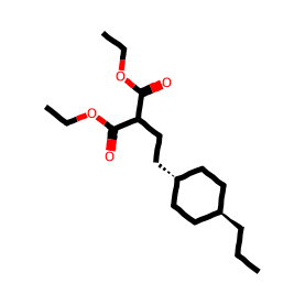 CCC[C@H]1CC[C@H](CCC(C(=O)OCC)C(=O)OCC)CC1